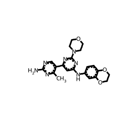 Cc1nc(N)ncc1-c1cc(Nc2ccc3c(c2)OCCO3)nc(N2CCOCC2)n1